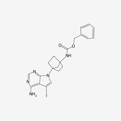 Nc1ncnc2c1c(I)cn2C12CCC(NC(=O)OCc3ccccc3)(CC1)C2